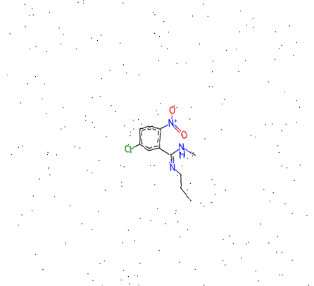 CCC/N=C(\NC)c1cc(Cl)ccc1[N+](=O)[O-]